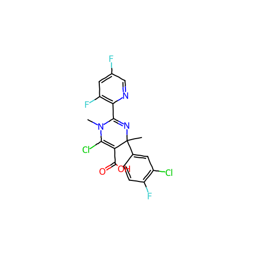 CN1C(c2ncc(F)cc2F)=NC(C)(c2ccc(F)c(Cl)c2)C(C(=O)O)=C1Cl